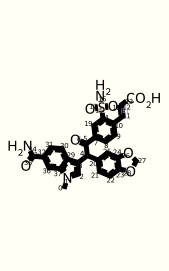 Cn1cc(C(C(=O)c2ccc(/C=C/C(=O)O)c(S(N)(=O)=O)c2)c2ccc3c(c2)OCO3)c2ccc(C(N)=O)cc21